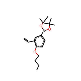 C=Cc1cc(B2OC(C)(C)C(C)(C)O2)ccc1OCCCC